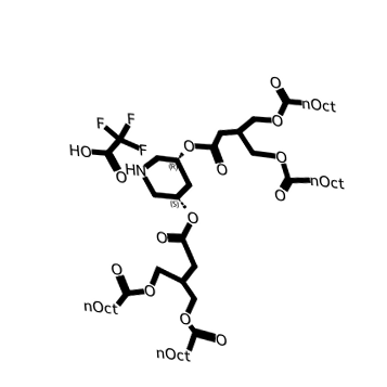 CCCCCCCCC(=O)OCC(COC(=O)CCCCCCCC)CC(=O)O[C@@H]1CNC[C@H](OC(=O)CC(COC(=O)CCCCCCCC)COC(=O)CCCCCCCC)C1.O=C(O)C(F)(F)F